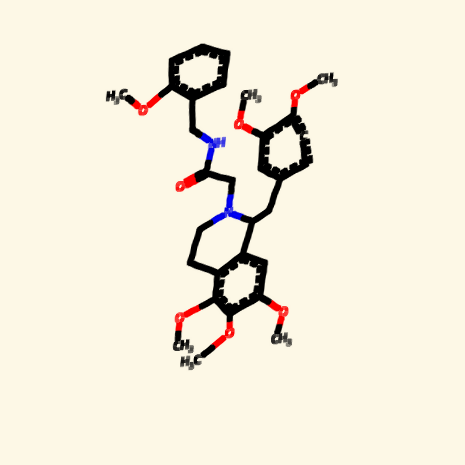 COc1ccccc1CNC(=O)CN1CCc2c(cc(OC)c(OC)c2OC)C1Cc1ccc(OC)c(OC)c1